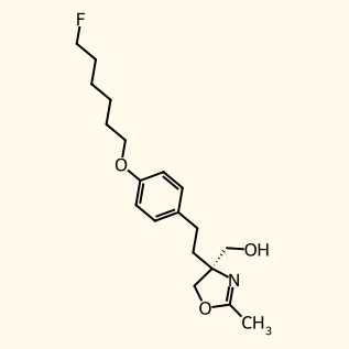 CC1=N[C@](CO)(CCc2ccc(OCCCCCCF)cc2)CO1